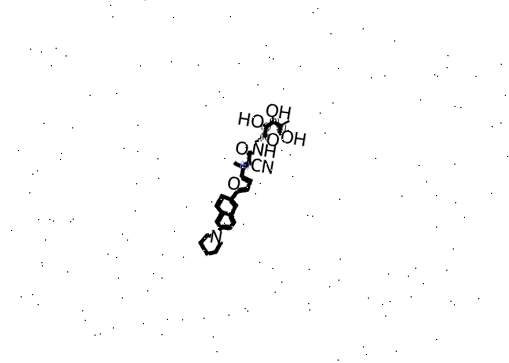 C/C(=C(/C#N)C(=O)NC[C@H]1OC(O)[C@H](C)[C@@H](O)[C@@H]1O)c1ccc(-c2ccc3cc(N4CCCCC4)ccc3c2)o1